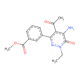 CCn1nc(-c2cccc(C(=O)OC)c2)c(C(C)=O)c(N)c1=O